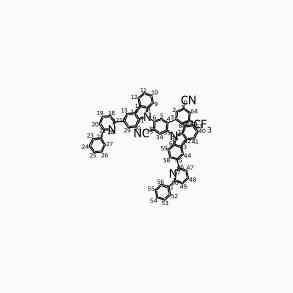 N#Cc1cc(-c2cc(-n3c4ccccc4c4cc(-c5cccc(-c6ccccc6)n5)ccc43)c(C#N)cc2-n2c3ccccc3c3cc(-c4cccc(-c5ccccc5)n4)ccc32)cc(C(F)(F)F)c1